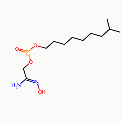 CC(C)CCCCCCCO[PH](=O)OCC(N)=NO